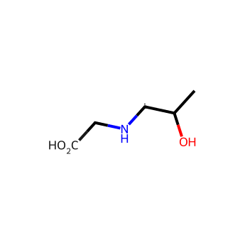 CC(O)[CH]NCC(=O)O